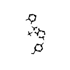 CCc1ccc(Nc2ncc3nc(Nc4ccccc4F)n(C(C)(C)C)c3n2)cc1